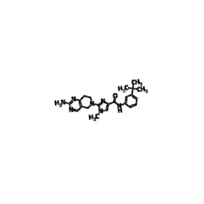 Cn1cc(C(=O)Nc2cccc(C(C)(C)C)c2)nc1N1CCc2nc(N)ncc2C1